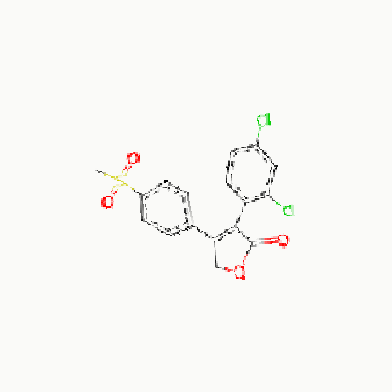 CS(=O)(=O)c1ccc(C2=C(c3ccc(Cl)cc3Cl)C(=O)OC2)cc1